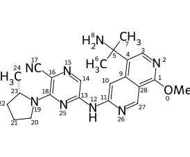 COc1ncc(C(C)(C)N)c2cc(Nc3cnc(C#N)c(N4CCC[C@@H]4C)n3)ncc12